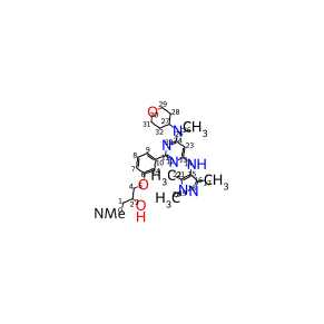 CNCC(O)COc1cccc(-c2nc(Nc3c(C)nn(C)c3C)cc(N(C)C3CCOCC3)n2)c1